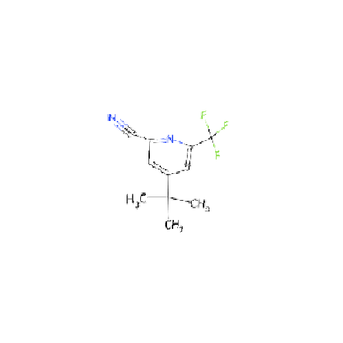 CC(C)(C)c1cc(C#N)nc(C(F)(F)F)c1